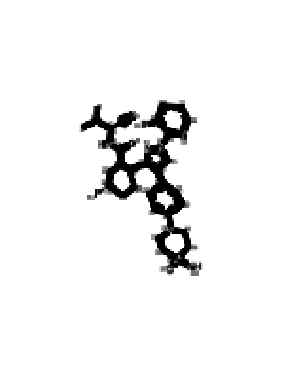 CC(C)[C@@H](C#N)NC(=O)C1C[C@@H](F)CCC1c1nn(-c2ncccc2F)cc1-c1ccc(N2CCS(=N)(=O)CC2)cc1